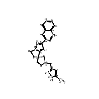 Cc1cc(CN2CCC3(CCn4nc(-c5cnc6ccccc6c5)cc43)C2)n[nH]1